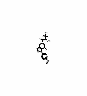 COc1ccc(-n2ncc3c2[C@H](C)CN(C(=O)C(O)C(F)(F)F)C3)cn1